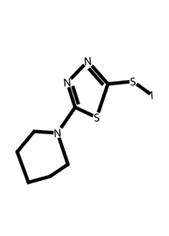 ISc1nnc(N2CCCCC2)s1